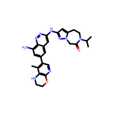 Cc1c(-c2cc(N)c3nnc(Nc4cc5n(n4)CC(=O)N(C(C)C)CC5)cc3c2)cnc2c1NCCO2